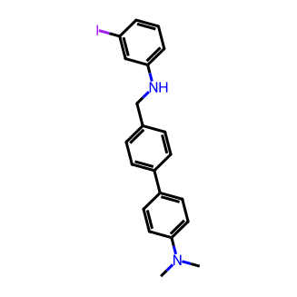 CN(C)c1ccc(-c2ccc(CNc3cccc(I)c3)cc2)cc1